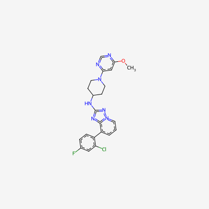 COc1cc(N2CCC(Nc3nc4c(-c5ccc(F)cc5Cl)cccn4n3)CC2)ncn1